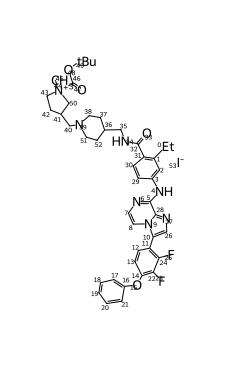 CCc1cc(Nc2nccn3c(-c4ccc(Oc5ccccc5)c(F)c4F)cnc23)ccc1C(=O)NCC1CCN(CC2CC[N+](C)(C(=O)OC(C)(C)C)C2)CC1.[I-]